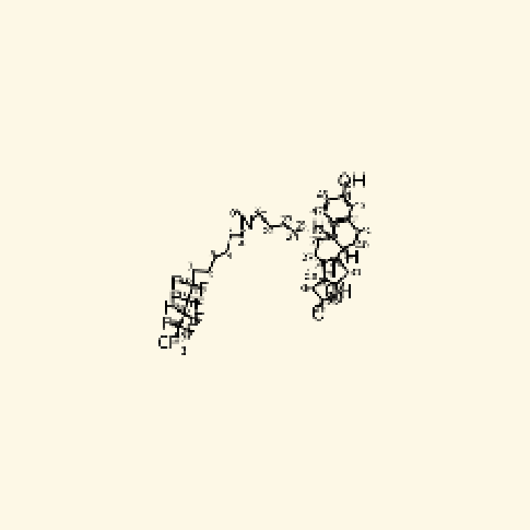 CN(CCCCCCC(F)(F)C(F)(F)C(F)(F)C(F)(F)C(F)(F)F)CCCCC[C@H]1C[C@@]2(C)[C@@H](CC3OC(=O)C[C@@]32O)[C@@H]2CCc3cc(O)ccc3[C@@H]12